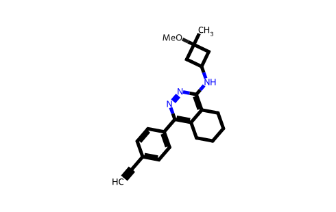 C#Cc1ccc(-c2nnc(NC3CC(C)(OC)C3)c3c2CCCC3)cc1